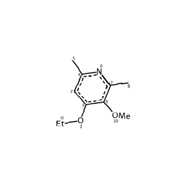 CCOc1cc(C)nc(C)c1OC